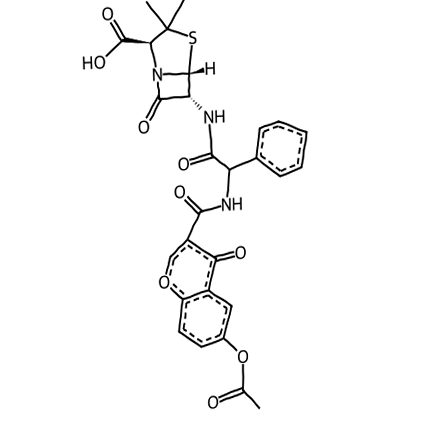 CC(=O)Oc1ccc2occ(C(=O)NC(C(=O)N[C@@H]3C(=O)N4[C@@H]3SC(C)(C)[C@@H]4C(=O)O)c3ccccc3)c(=O)c2c1